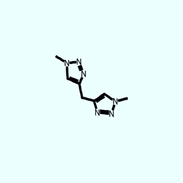 Cn1cc(Cc2cn(C)nn2)nn1